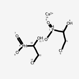 O=[PH]([O-])C(O)CCl.O=[PH]([O-])C(O)CCl.[Ca+2]